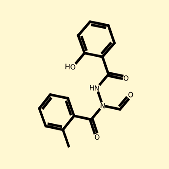 Cc1ccccc1C(=O)N(C=O)NC(=O)c1ccccc1O